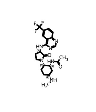 CN[C@@H]1CC[C@H](N2CC[C@H](Nc3ncnc4ccc(C(F)(F)F)cc34)C2=O)[C@H](NC(C)=O)C1